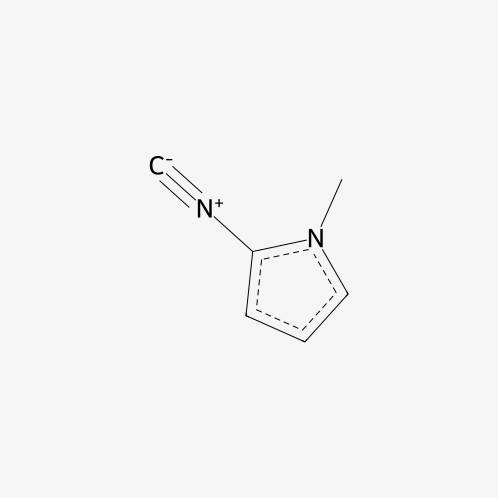 [C-]#[N+]c1cccn1C